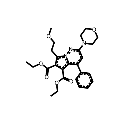 CCOC(=O)c1c(C(=O)OCC)c2c(-c3ccccc3)cc(N3CCOCC3)nn2c1CCOC